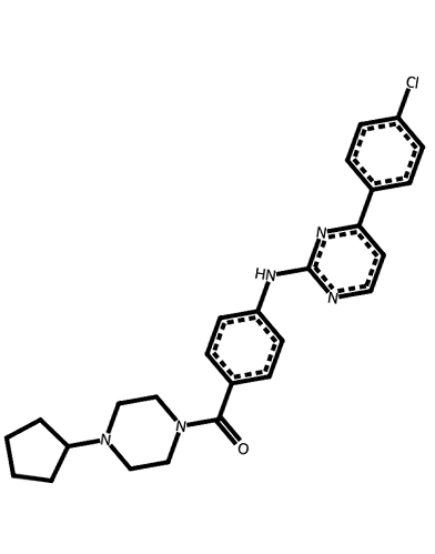 O=C(c1ccc(Nc2nccc(-c3ccc(Cl)cc3)n2)cc1)N1CCN(C2CCCC2)CC1